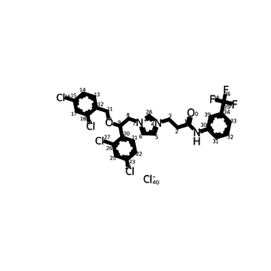 O=C(CCn1cc[n+](CC(OCc2ccc(Cl)cc2Cl)c2ccc(Cl)cc2Cl)c1)Nc1cccc(C(F)(F)F)c1.[Cl-]